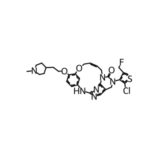 CN1CCC(CCOc2ccc3cc2OC/C=C\CN2C(=O)N(c4c(CF)csc4Cl)Cc4cnc(nc42)N3)CC1